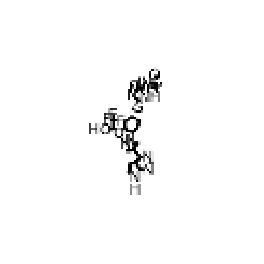 CS(=O)(=O)Nc1nnc(SC[C@H]2CC[C@@H](n3cc(-c4ncnc5[nH]ccc45)cn3)CC2)[nH]1.O=C(O)C(F)(F)F